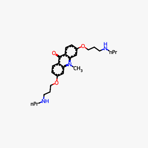 CCCNCCCOc1ccc2c(=O)c3ccc(OCCCNCCC)cc3n(C)c2c1